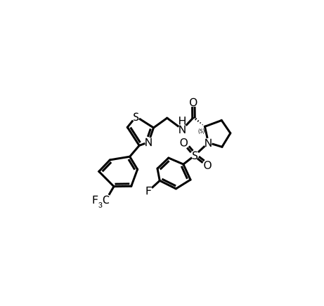 O=C(NCc1nc(-c2ccc(C(F)(F)F)cc2)cs1)[C@@H]1CCCN1S(=O)(=O)c1ccc(F)cc1